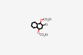 CCOC(=O)Oc1cc(CC)c(OC(=O)OCC)c2ccccc12